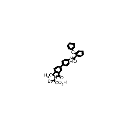 CCC(C(=O)O)N1C(=O)c2cc(-c3ccc(NC(=O)c4ccccc4Oc4ccccc4)cc3)ccc2C1C